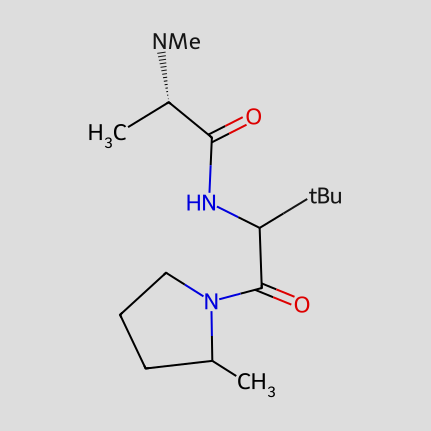 CN[C@@H](C)C(=O)NC(C(=O)N1CCCC1C)C(C)(C)C